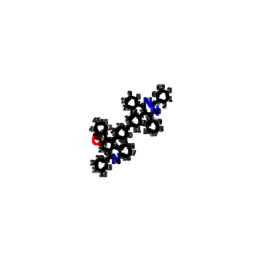 c1ccc(-c2nc(-c3ccccc3)c(-c3ccc(-c4ccc(-c5c6c(cc7c(-c8ccccc8)nc8ccccc8c57)oc5ccccc56)cc4)cc3)c(-c3ccccc3)n2)cc1